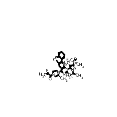 C=C(F)C(=O)N1CCN(c2nc(=O)n(-c3c(C)c(P(C)(C)=O)nn3C(C)C)c3nc(-c4ccccc4F)c(Cl)cc23)[C@@H](C)C1